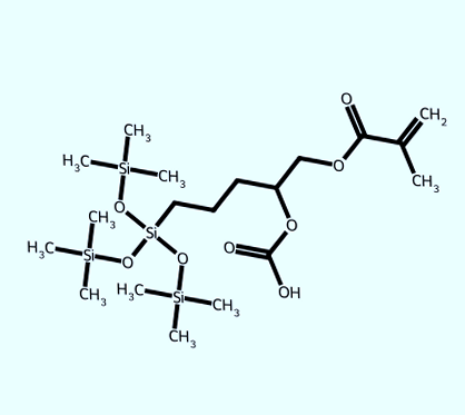 C=C(C)C(=O)OCC(CCC[Si](O[Si](C)(C)C)(O[Si](C)(C)C)O[Si](C)(C)C)OC(=O)O